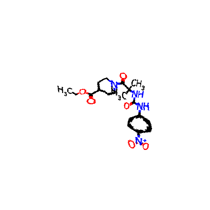 CCOC(=O)C1CCN(C(=O)C(C)(C)NC(=O)Nc2ccc([N+](=O)[O-])cc2)CC1